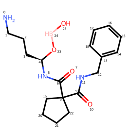 NCCC[C@H](NC(=O)C1(C(=O)NCc2ccccc2)CCCC1)OBO